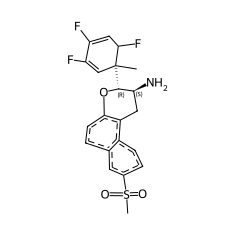 CC1([C@H]2Oc3ccc4cc(S(C)(=O)=O)ccc4c3C[C@@H]2N)C=C(F)C(F)=CC1F